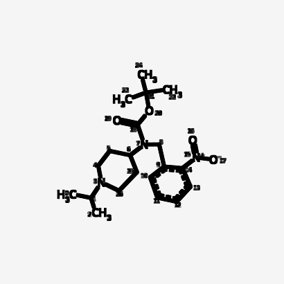 CC(C)N1CCC(N(Cc2ccccc2[N+](=O)[O-])C(=O)OC(C)(C)C)CC1